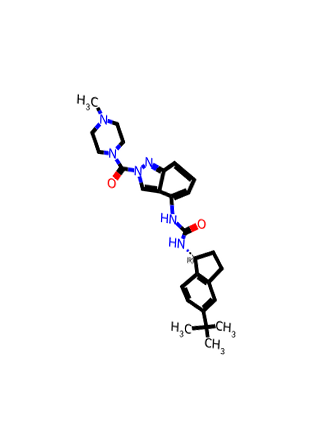 CN1CCN(C(=O)n2cc3c(NC(=O)N[C@@H]4CCc5cc(C(C)(C)C)ccc54)cccc3n2)CC1